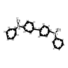 CCN(c1ccccc1)c1ccc(-c2ccc(N(CC)c3ccccc3)cc2)cc1